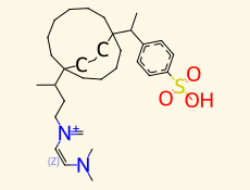 C=[N+](/C=C\N(C)C)CCC(C)C12CCCCCCC(C(C)c3ccc(S(=O)(=O)O)cc3)(CCCC1)CCC2